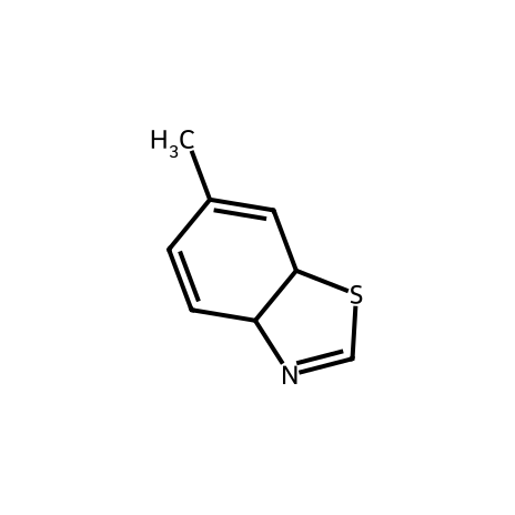 CC1=CC2SC=NC2C=C1